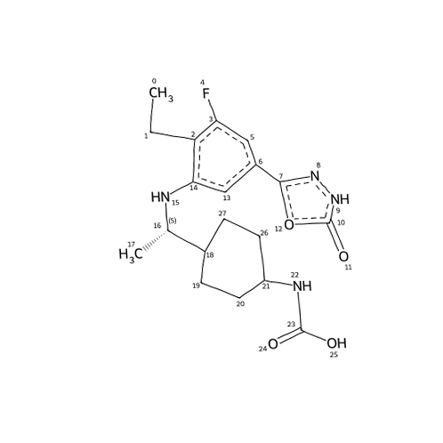 CCc1c(F)cc(-c2n[nH]c(=O)o2)cc1N[C@@H](C)C1CCC(NC(=O)O)CC1